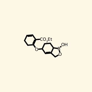 CCOC(=O)C1=C(OC2C=C3COB(O)C3CC2)CCC=C1